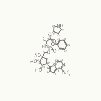 C[C@H](NP(=O)(OC[C@@]1(C#N)C[C@@H](c2ccc3c(N)ncnn23)[C@H](O)[C@@H]1O)Oc1ccccc1)C(=O)O[C@H]1CCNC1